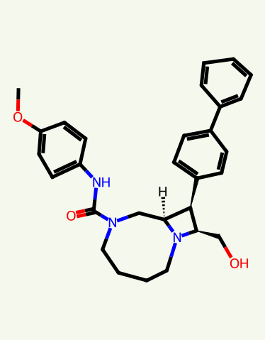 COc1ccc(NC(=O)N2CCCCN3[C@H](CO)[C@H](c4ccc(-c5ccccc5)cc4)[C@@H]3C2)cc1